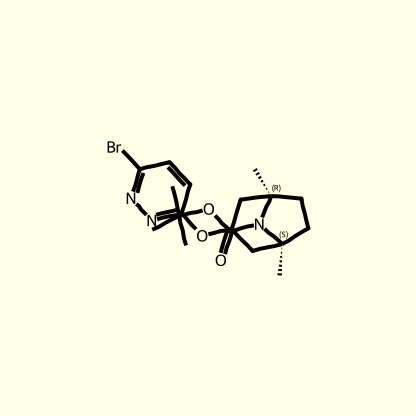 CC(C)(C)OC(=O)N1[C@@]2(C)CC[C@]1(C)CC(Oc1ccc(Br)nn1)C2